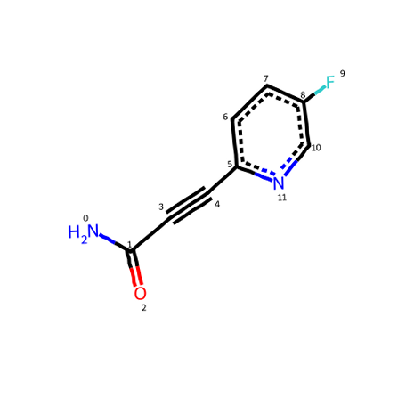 NC(=O)C#Cc1ccc(F)cn1